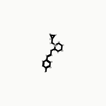 Cc1ccc(C=CCC2CCCCN2CC2CC2)cc1